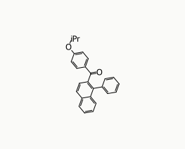 CC(C)Oc1ccc(C(=O)c2ccc3ccccc3c2-c2ccccc2)cc1